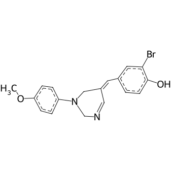 COc1ccc(N2CN=C/C(=C\c3ccc(O)c(Br)c3)C2)cc1